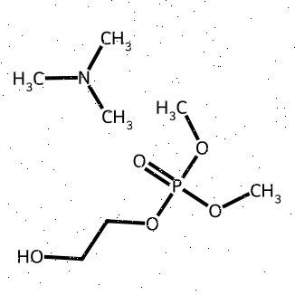 CN(C)C.COP(=O)(OC)OCCO